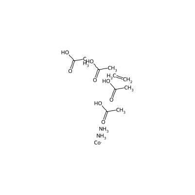 C=C.CC(=O)O.CC(=O)O.CC(=O)O.CC(=O)O.N.N.[Co]